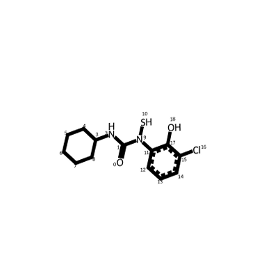 O=C(NC1CCCCC1)N(S)c1cccc(Cl)c1O